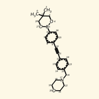 CC1(C)COB(c2ccc(C#Cc3ccc(CN4CCOCC4)cc3)cc2)OC1